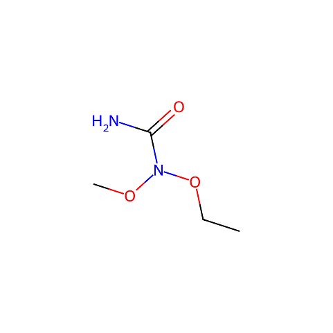 CCON(OC)C(N)=O